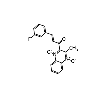 Cc1c(C(=O)/C=C/c2cccc(F)c2)[n+]([O-])c2ccccc2[n+]1[O-]